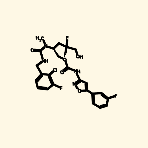 CN(C(=O)NCc1cccc(F)c1Cl)[C@H](COC(=O)Nc1cc(-c2cccc(F)c2)on1)CC(F)(F)CO